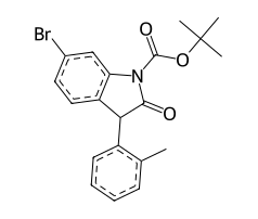 Cc1ccccc1C1C(=O)N(C(=O)OC(C)(C)C)c2cc(Br)ccc21